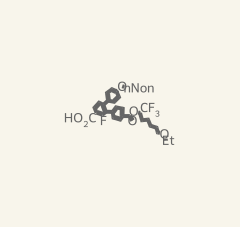 CCCCCCCCCOc1ccc(-c2ccc(C(=O)O)c(F)c2-c2ccc(C(=O)OC(CCCCCOCC)C(F)(F)F)cc2)cc1